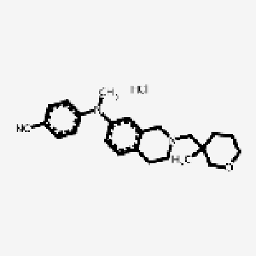 CN(c1ccc(C#N)cc1)c1ccc2c(c1)CN(CC1(C)CCCOC1)CC2.Cl